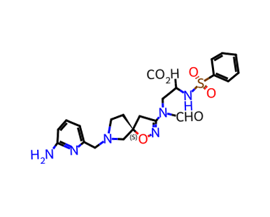 Nc1cccc(CN2CC[C@]3(CC(N(C=O)CC(NS(=O)(=O)c4ccccc4)C(=O)O)=NO3)C2)n1